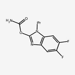 CC(C)n1c(OC(N)=O)nc2cc(F)c(F)cc21